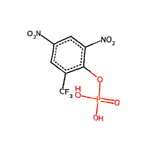 O=[N+]([O-])c1cc([N+](=O)[O-])c(OP(=O)(O)O)c(C(F)(F)F)c1